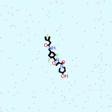 O=C(Cc1ccsc1)NCc1cc(F)c(-c2nc(C(=O)N3CCC(O)CC3)co2)c(F)c1